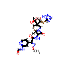 CON=C(C(=O)NC1C(=O)N2CC(C(=O)O)(C(C)Sc3nnn[nH]3)CS[C@H]12)c1ccnc(NC=O)c1